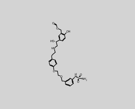 NS(=O)(=O)Nc1cccc(COCCOc2ccc(CCNC[C@H](O)c3ccc(O)c(COC=O)c3)cc2)c1